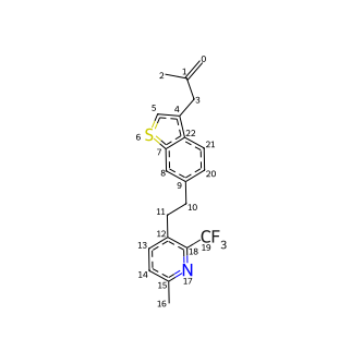 C=C(C)Cc1csc2cc(CCc3ccc(C)nc3C(F)(F)F)ccc12